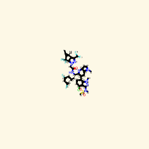 CC1=C2[C@H]1c1c(C(F)F)nn(CC(=O)N[C@@H](Cc3cc(F)cc(F)c3)c3nc4ccn(C)c4cc3-c3ccc(Cl)c4c(N(C)S(C)(=O)=O)nn(C)c34)c1C2(F)F